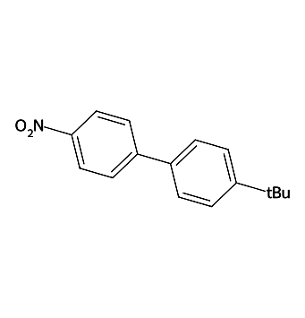 CC(C)(C)c1ccc(-c2ccc([N+](=O)[O-])cc2)cc1